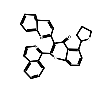 O=c1c(-c2ccc3ccccc3n2)c(-c2nccc3ccccc23)oc2cccc(C3CCCS3)c12